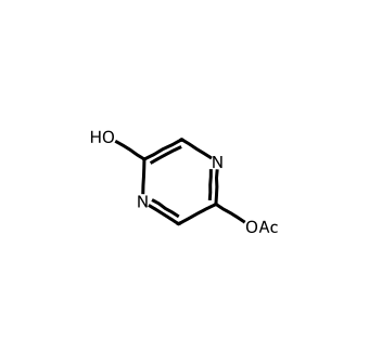 CC(=O)Oc1cnc(O)cn1